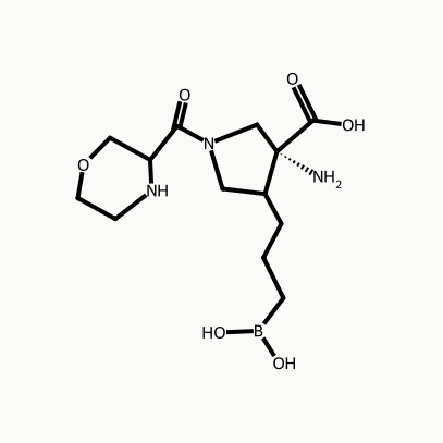 N[C@@]1(C(=O)O)CN(C(=O)C2COCCN2)CC1CCCB(O)O